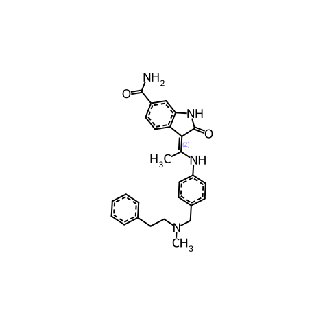 C/C(Nc1ccc(CN(C)CCc2ccccc2)cc1)=C1/C(=O)Nc2cc(C(N)=O)ccc21